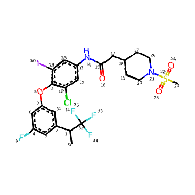 CC(c1cc(F)cc(Oc2c(Cl)cc(NC(=O)CC3CCN(S(C)(=O)=O)CC3)cc2I)c1)C(F)(F)F